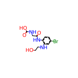 O=C(O)NCC(=O)Nc1ccc(Br)cc1NCCO